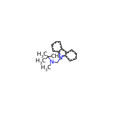 CN(Cn1c2ccccc2c2ccccc21)C(C)(C)C